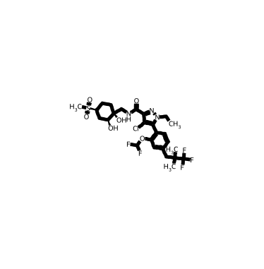 CCn1nc(C(=O)NC[C@@]2(O)CC[C@H](S(C)(=O)=O)C[C@@H]2O)c(Cl)c1-c1ccc(CC(C)(C)C(F)(F)F)cc1OC(F)F